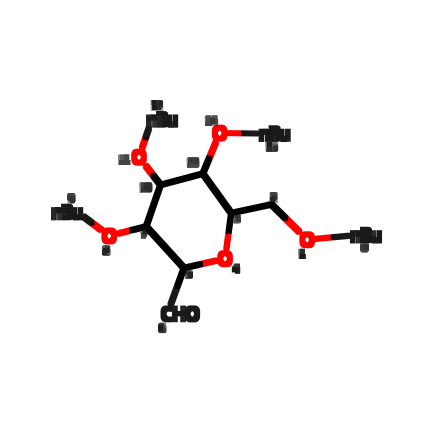 CCCCOCC1OC(C=O)C(OCCCC)C(OCCCC)C1OCCCC